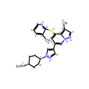 CC(=O)N[C@H]1CC[C@@H](n2cc(-c3cc(Sc4ncccc4C)c4c(C#N)cnn4c3)cn2)CC1